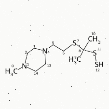 CN1CCN(CCSC(C)(C)SS)CC1